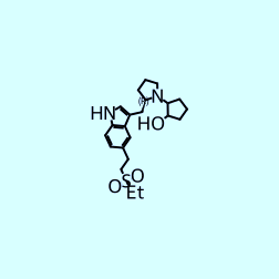 CCS(=O)(=O)CCc1ccc2[nH]cc(C[C@H]3CCCN3C3CCCC3O)c2c1